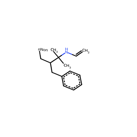 C=CNC(C)(C)C(CCCCCCCCCC)Cc1ccccc1